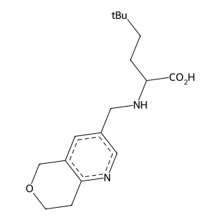 CC(C)(C)CCC(NCc1cnc2c(c1)COCC2)C(=O)O